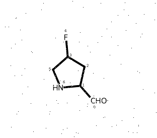 O=[C]C1CC(F)CN1